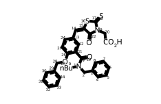 CCCCN(Cc1ccccc1)C(=O)c1cc(C=C2SC(=S)N(CC(=O)O)C2=O)ccc1OCc1ccccc1